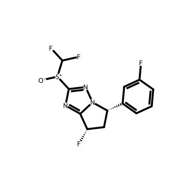 [O-][S+](c1nc2n(n1)[C@H](c1cccc(F)c1)C[C@@H]2F)C(F)F